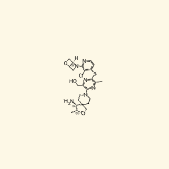 Cc1nc(N2CCC3(CC2)CO[C@@H](C)[C@H]3N)c(CO)nc1Sc1ccnc(N2CC3OC[C@H]32)c1Cl